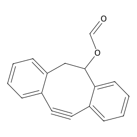 O=COC1Cc2ccccc2C#Cc2ccccc21